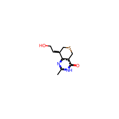 Cc1nc2c(c(=O)[nH]1)CSCC2=CCO